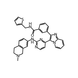 CN1CCc2ccc(Nc3nccc(-c4c(-c5cccc(C(=O)NCc6cccs6)c5)nc5ccccn45)n3)cc2C1